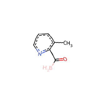 BC(=O)c1ncccc1C